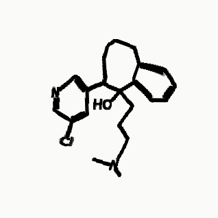 CN(C)CCCC1(O)c2ccccc2CCCC1c1cncc(Cl)c1